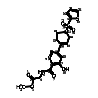 COC(=O)CNC(=O)c1ncc(C2=CCN(S(=O)(=O)c3cccs3)CC2)cc1O